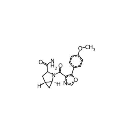 COc1ccc(-c2ocnc2C(=O)N2[C@H](C(N)=O)C[C@H]3C[C@@H]32)cc1